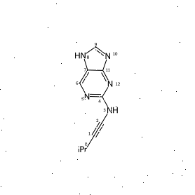 CC(C)C#CNc1ncc2[nH]cnc2n1